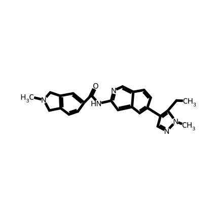 CCc1c(-c2ccc3cnc(NC(=O)c4ccc5c(c4)CN(C)C5)cc3c2)cnn1C